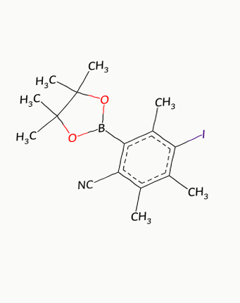 Cc1c(C)c(C#N)c(B2OC(C)(C)C(C)(C)O2)c(C)c1I